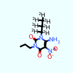 [2H]C([2H])([2H])C([2H])([2H])C([2H])([2H])n1c(N)c([N+](=O)[O-])c(=O)n(CCC)c1=O